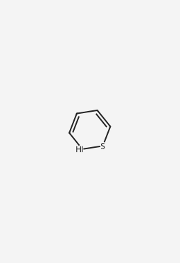 C1=CS[IH]C=C1